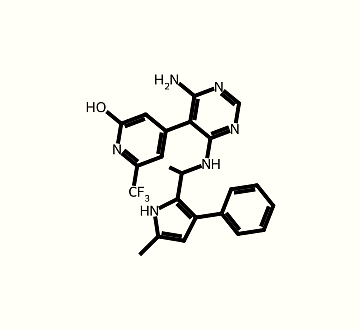 Cc1cc(-c2ccccc2)c(C(C)Nc2ncnc(N)c2-c2cc(O)nc(C(F)(F)F)c2)[nH]1